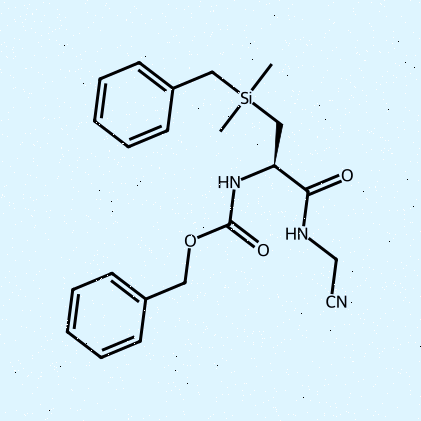 C[Si](C)(Cc1ccccc1)C[C@H](NC(=O)OCc1ccccc1)C(=O)NCC#N